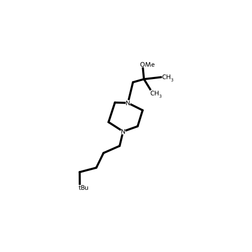 COC(C)(C)CN1CCN(CCCCC(C)(C)C)CC1